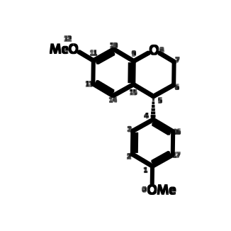 COc1ccc([C@H]2CCOc3cc(OC)ccc32)cc1